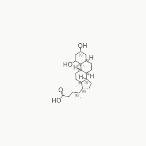 C[C@H](CCC(=O)O)[C@H]1CC[C@H]2[C@@H]3CC[C@@H]4C[C@H](O)CC(O)[C@]4(C)[C@H]3CC[C@]12C